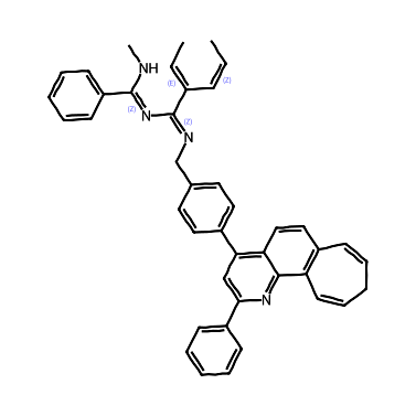 C\C=C/C(=C\C)C(=N/Cc1ccc(-c2cc(-c3ccccc3)nc3c4c(ccc23)C=CCC=C4)cc1)/N=C(\NC)c1ccccc1